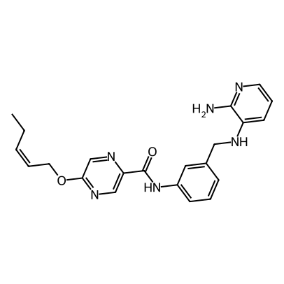 CC/C=C\COc1cnc(C(=O)Nc2cccc(CNc3cccnc3N)c2)cn1